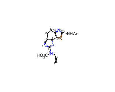 C#CCN(C(=O)O)c1ncc2c(n1)-c1sc(NC(C)=O)nc1CC2